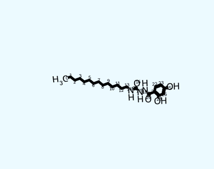 CCCCCCCCCCCCCCNC(=O)NNC(=O)c1ccc(O)cc1O